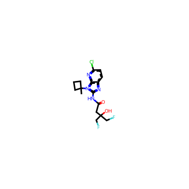 CC1(n2c(NC(=O)CC(O)(CF)CF)nc3ccc(Cl)nc32)CCC1